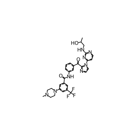 CC(O)CNc1nccc(-n2ccnc2C(=O)c2cccc(NC(=O)c3cc(N4CCN(C)CC4)cc(C(F)(F)F)c3)c2)n1